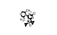 C[C@H]1COC[C@H](C)N1c1cc(C2(S(=O)(=O)C3CC3)CC2)nc(Cl)n1